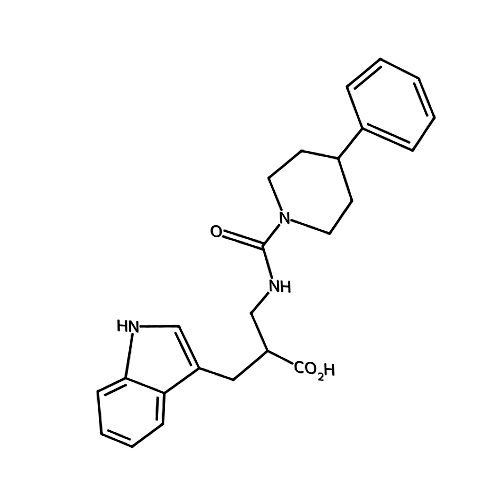 O=C(O)C(CNC(=O)N1CCC(c2ccccc2)CC1)Cc1c[nH]c2ccccc12